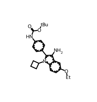 CCOc1ccc2c(c1)c(N)c(-c1ccc(NC(=O)OC(C)(C)C)cc1)n2C1CCC1